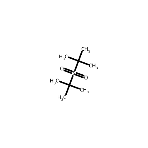 CC(C)(C)S(=O)(=O)C(C)(C)C